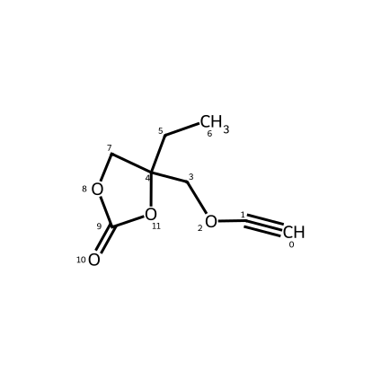 C#COCC1(CC)COC(=O)O1